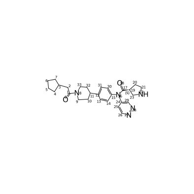 O=C(CC1CCCC1)N1CCC(c2ccc(N(C(=O)[C@H]3CCNC3)c3ccnnc3)cc2)CC1